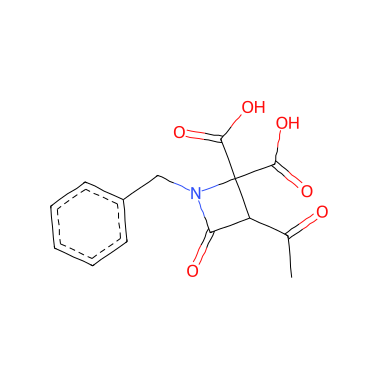 CC(=O)C1C(=O)N(Cc2ccccc2)C1(C(=O)O)C(=O)O